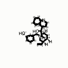 C=C[C@H]1C[N+]2(Cc3ccccc3)CC[C@H]1C[C@@H]2[C@@H](O)c1ccnc2ccccc12.[OH-]